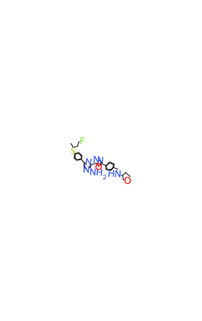 CC(CCF)Sc1ccc(-c2cnc(N)c(-c3nnc(-c4ccc(CNC5CCOC5)cc4)o3)n2)cc1